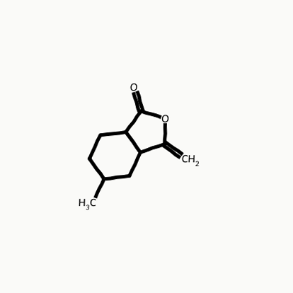 C=C1OC(=O)C2CCC(C)CC12